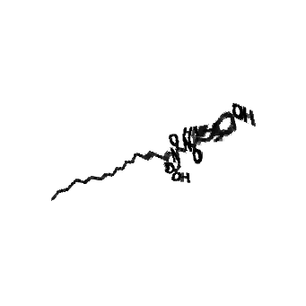 CCCCCCCCCCCCCCCCCCN(CC(=O)O)C(=O)CNC(=O)[C@@H](N)Cc1ccc(O)cc1